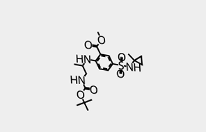 COC(=O)c1cc(S(=O)(=O)NC2(C)CC2)ccc1NC(C)CNC(=O)OC(C)(C)C